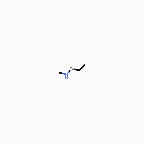 C[CH2][Ta][NH]C